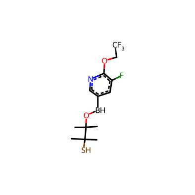 CC(C)(S)C(C)(C)OBc1cnc(OCC(F)(F)F)c(F)c1